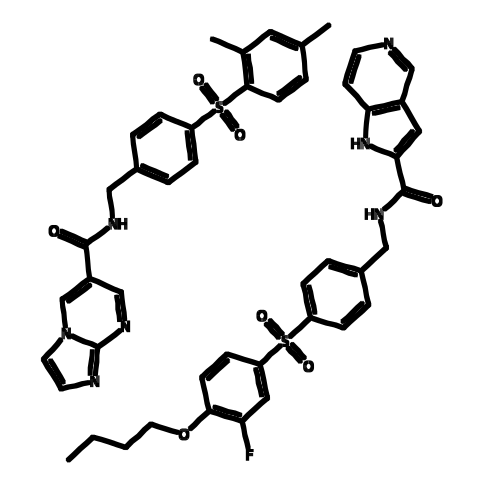 CCCCOc1ccc(S(=O)(=O)c2ccc(CNC(=O)c3cc4cnccc4[nH]3)cc2)cc1F.Cc1ccc(S(=O)(=O)c2ccc(CNC(=O)c3cnc4nccn4c3)cc2)c(C)c1